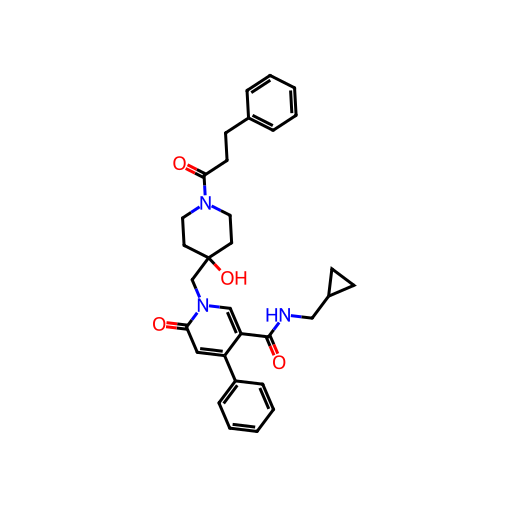 O=C(NCC1CC1)c1cn(CC2(O)CCN(C(=O)CCc3ccccc3)CC2)c(=O)cc1-c1ccccc1